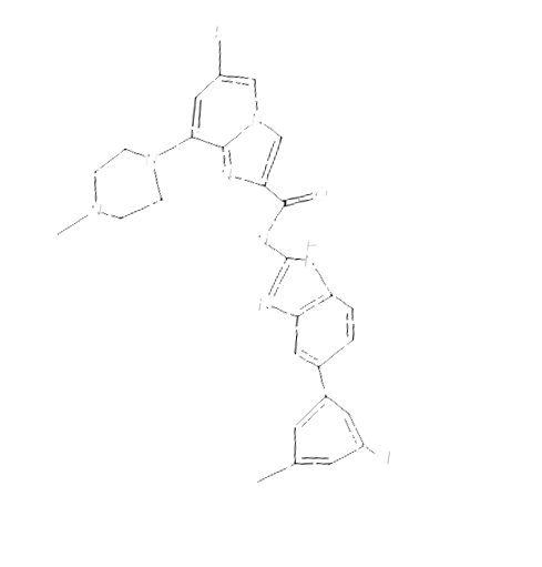 CN1CCN(c2cc(F)cn3cc(C(=O)Nc4nc5cc(-c6cc(F)cc(Cl)c6)ccc5[nH]4)nc23)CC1